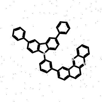 c1ccc(-c2ccc3c(c2)c2cc(-c4ccccc4)ccc2n3-c2cccc(-c3ccc4ccc5nc6ccccc6nc5c4c3)c2)cc1